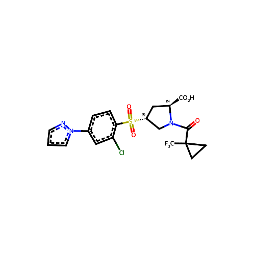 O=C(O)[C@@H]1C[C@@H](S(=O)(=O)c2ccc(-n3cccn3)cc2Cl)CN1C(=O)C1(C(F)(F)F)CC1